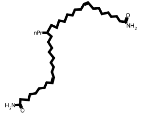 CCCC(CCCCCCCC/C=C\CCCCCCCC(N)=O)CCCCCCCC/C=C\CCCCCCCC(N)=O